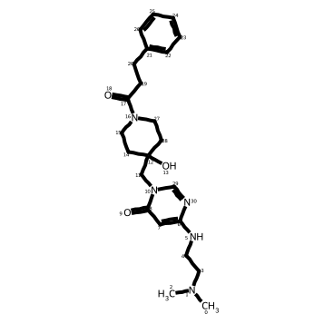 CN(C)CCNc1cc(=O)n(CC2(O)CCN(C(=O)CCc3ccccc3)CC2)cn1